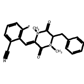 CN1C(=O)C(Cc2ccccc2)N(C)C(=O)/C1=C/c1c(F)cccc1C#N